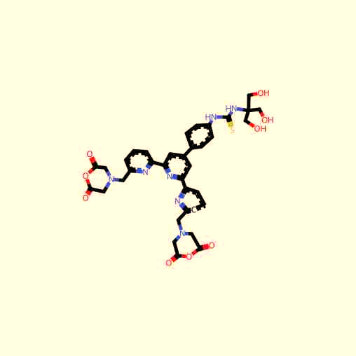 O=C1CN(Cc2cccc(-c3cc(-c4ccc(NC(=S)NC(CO)(CO)CO)cc4)cc(-c4cccc(CN5CC(=O)OC(=O)C5)n4)n3)n2)CC(=O)O1